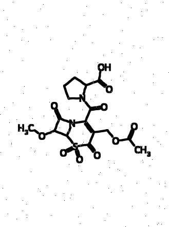 COC1C(=O)N2C(C(=O)N3CCCC3C(=O)O)=C(COC(C)=O)C(=O)S(=O)(=O)C12